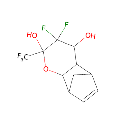 OC1C2C3C=CC(C3)C2OC(O)(C(F)(F)F)C1(F)F